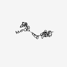 COc1cc(/C=C/C(=O)CC(=O)/C=C/c2ccc(OC(=O)[C@H](CC(C)C)NC(=O)C(Cl)Cl)c(OC)c2)ccc1OC(=O)[C@H](CC(C)C)NC(=O)C(Cl)Cl